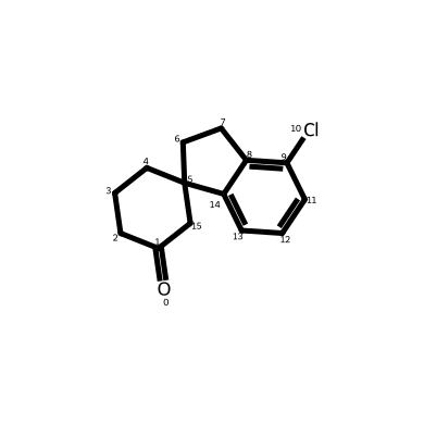 O=C1CCCC2(CCc3c(Cl)cccc32)C1